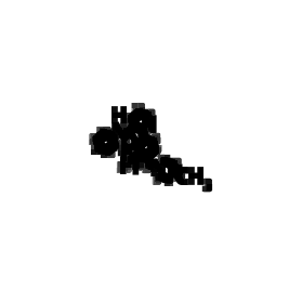 CN1CCN(Cc2ccc(-c3ncccc3C(=O)Nc3ccccc3)cc2C(F)(F)F)CC1